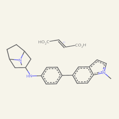 CN1C2CCC1CC(Nc1ccc(-c3ccc4c(ccn4C)c3)cc1)C2.O=C(O)/C=C/C(=O)O